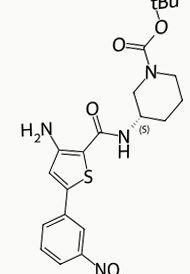 CC(C)(C)OC(=O)N1CCC[C@H](NC(=O)c2sc(-c3cccc([N+](=O)[O-])c3)cc2N)C1